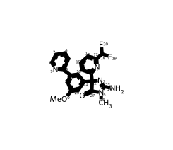 COc1cc(-c2ccccn2)cc(C2(c3cccc(C(F)F)n3)N=C(N)N(C)C2=O)c1